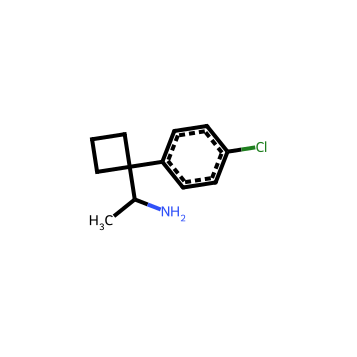 CC(N)C1(c2ccc(Cl)cc2)CCC1